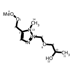 COOCc1cn[n+](COCC(C)O)n1C